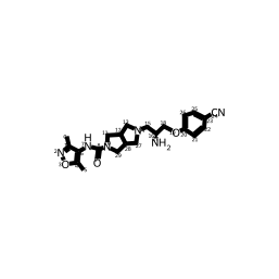 Cc1noc(C)c1NC(=O)N1CC2CN(C[C@H](N)COc3ccc(C#N)cc3)CC2C1